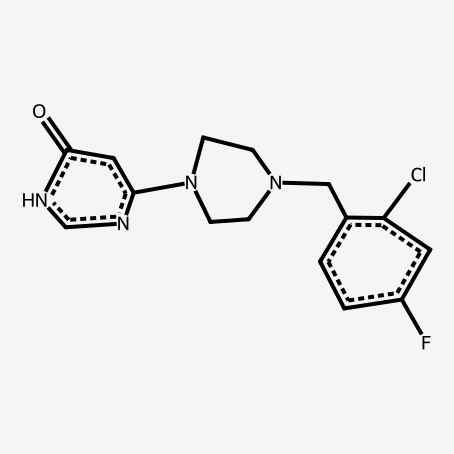 O=c1cc(N2CCN(Cc3ccc(F)cc3Cl)CC2)nc[nH]1